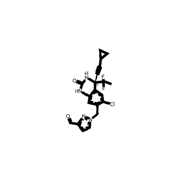 CC(F)(F)[C@@]1(C#CC2CC2)NC(=O)Nc2cc(Cn3ccc(C=O)n3)c(Cl)cc21